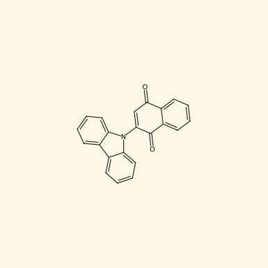 O=C1C=C(n2c3ccccc3c3ccccc32)C(=O)c2ccccc21